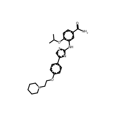 CC(C)Oc1ccc(C(N)=O)cc1Nc1nc(-c2ccc(OCCN3CCCCC3)cc2)cs1